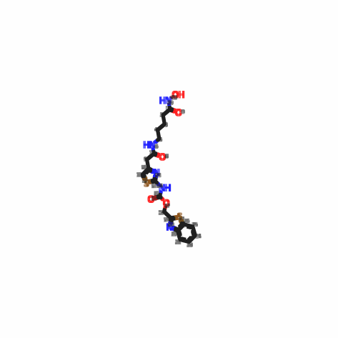 O=C(CCCCNC(=O)Cc1csc(NC(=O)OCc2nc3ccccc3s2)n1)NO